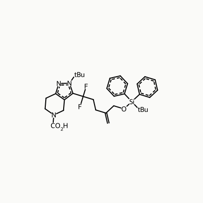 C=C(CCC(F)(F)c1c2c(nn1C(C)(C)C)CCN(C(=O)O)C2)CO[Si](c1ccccc1)(c1ccccc1)C(C)(C)C